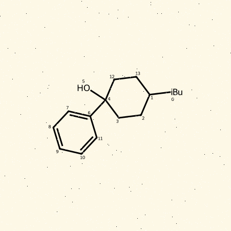 CCC(C)C1CCC(O)(c2ccccc2)CC1